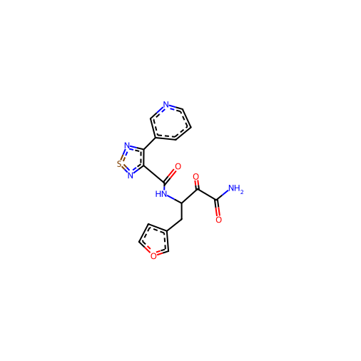 NC(=O)C(=O)C(Cc1ccoc1)NC(=O)c1nsnc1-c1cccnc1